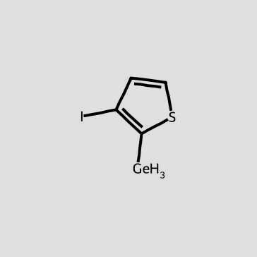 [GeH3][c]1sccc1I